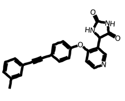 Cc1cccc(C#Cc2ccc(Oc3ccncc3C3NC(=O)NC3=O)cc2)c1